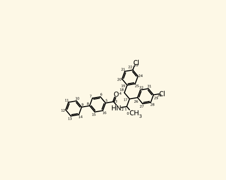 CC(NC(=O)c1ccc(-c2ccccc2)cc1)C(Cc1ccc(Cl)cc1)c1ccc(Cl)cc1